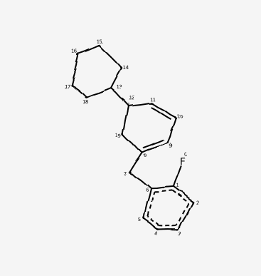 Fc1ccccc1CC1=[C]C=C[C](C2CCCCC2)C1